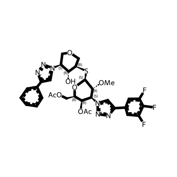 CO[C@@H]1[C@@H](n2cc(-c3cc(F)c(F)c(F)c3)nn2)[C@@H](OC(C)=O)[C@@H](COC(C)=O)O[C@H]1S[C@@H]1COC[C@H](n2cc(-c3ccccc3)nn2)[C@H]1O